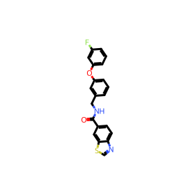 O=C(NCc1cccc(Oc2cccc(F)c2)c1)c1ccc2ncsc2c1